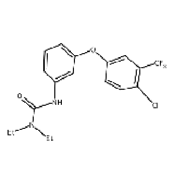 CCN(CC)C(=O)Nc1cccc(Oc2ccc(Cl)c(C(F)(F)F)c2)c1